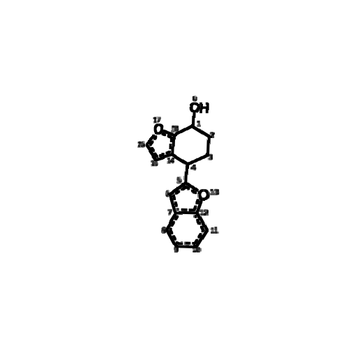 OC1CCC(c2cc3ccccc3o2)c2ccoc21